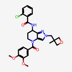 COc1ccc(C(=O)N2CCC(NC(=O)c3ccccc3Cl)c3nn(CC4(C)COC4)cc32)cc1OC